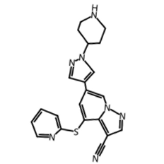 N#Cc1cnn2cc(-c3cnn(C4CCNCC4)c3)cc(Sc3ccccn3)c12